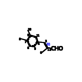 C/C(C=O)=C\c1ccc(C)c(C)c1